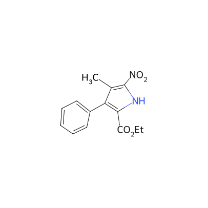 CCOC(=O)c1[nH]c([N+](=O)[O-])c(C)c1-c1ccccc1